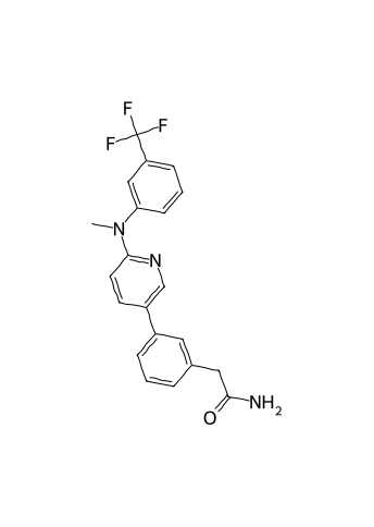 CN(c1cccc(C(F)(F)F)c1)c1ccc(-c2cccc(CC(N)=O)c2)cn1